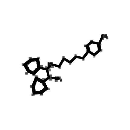 CC1=CCC(CCCCCN[C@H](c2ccccc2)[C@H](N)c2ccccc2)=CC1